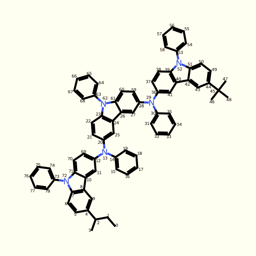 CCC(C)c1ccc2c(c1)c1cc(N(c3ccccc3)c3ccc4c(c3)c3cc(N(c5ccccc5)c5ccc6c(c5)c5cc(C(C)(C)C)ccc5n6-c5ccccc5)ccc3n4-c3ccccc3)ccc1n2-c1ccccc1